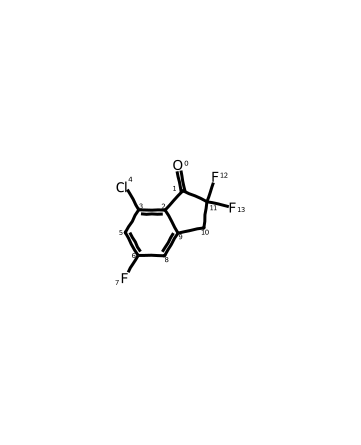 O=C1c2c(Cl)cc(F)cc2CC1(F)F